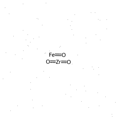 [O]=[Fe].[O]=[Zr]=[O]